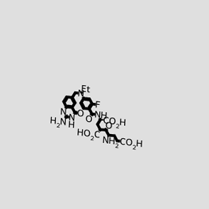 CCN(Cc1ccc2nc(N)[nH]c(=O)c2c1)c1ccc(C(=O)N[C@H](CC(C(=O)O)C(=O)[C@H](N)CCC(=O)O)C(=O)O)c(F)c1